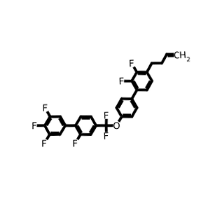 C=CCCc1ccc(-c2ccc(OC(F)(F)c3ccc(-c4cc(F)c(F)c(F)c4)c(F)c3)cc2)c(F)c1F